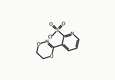 O=S(=O)(Cl)c1ncccc1C1=NOCCO1